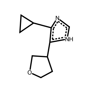 c1nc(C2CC2)c(C2CCOC2)[nH]1